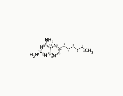 CCCCCCc1cnc2nc(N)nc(N)c2n1